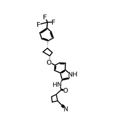 N#CC1CCC1C(=O)Nc1c[nH]c2ccc(O[C@H]3C[C@@H](c4ccc(C(F)(F)F)cc4)C3)cc12